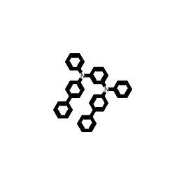 C1=CC(N(c2ccccc2)c2cccc(N(c3ccccc3)c3ccc(-c4ccccc4)cc3)c2)CC=C1c1ccccc1